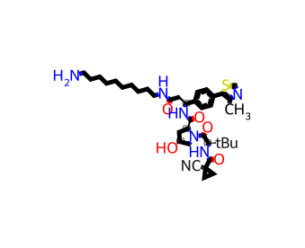 Cc1ncsc1-c1ccc([C@H](CC(=O)NCCCCCCCCCCN)NC(=O)[C@@H]2C[C@@H](O)CN2C(=O)[C@@H](NC(=O)C2(C#N)CC2)C(C)(C)C)cc1